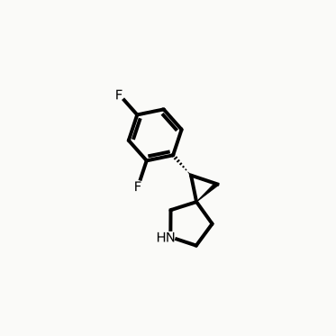 Fc1ccc([C@@H]2C[C@]23CCNC3)c(F)c1